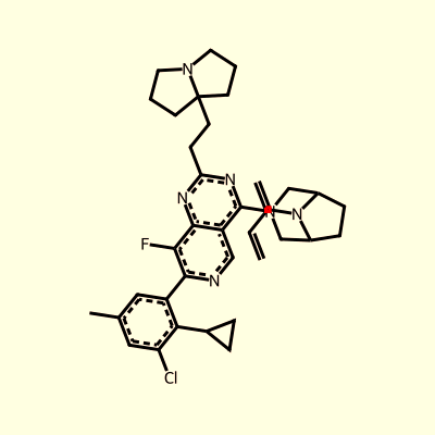 C=CC(=C)N1C2CCC1CN(c1nc(CCC34CCCN3CCC4)nc3c(F)c(-c4cc(C)cc(Cl)c4C4CC4)ncc13)C2